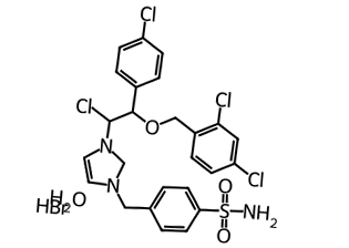 Br.NS(=O)(=O)c1ccc(CN2C=CN(C(Cl)C(OCc3ccc(Cl)cc3Cl)c3ccc(Cl)cc3)C2)cc1.O